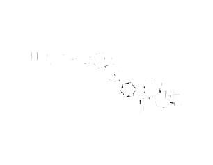 O=C(O)CCCCN1CCOC2(CCN(c3ccc4c(c3)C(=O)N(C3CCC(=O)NC3=O)C4=O)CC2)C1